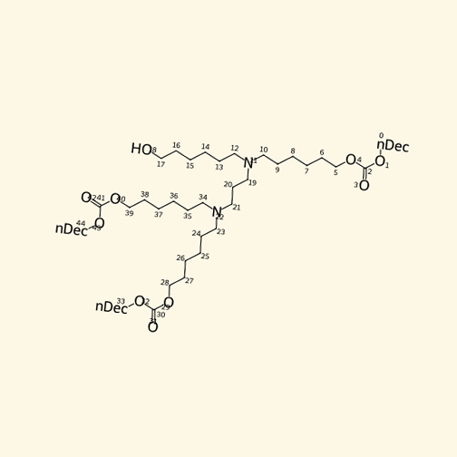 CCCCCCCCCCOC(=O)OCCCCCCN(CCCCCCO)CCCN(CCCCCCOC(=O)OCCCCCCCCCC)CCCCCCOC(=O)OCCCCCCCCCC